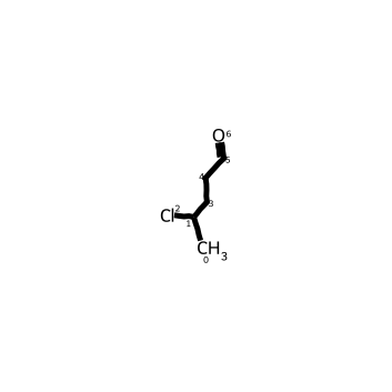 CC(Cl)CCC=O